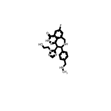 CNCc1ccc(C2NCc3cc(F)cc4c(=O)[nH]nc(c34)C2c2ncnn2CCO)cc1